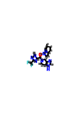 Cc1ccc2cc([C@@H]3c4nc[nH]c4CCN3C(=O)c3nc(C(F)F)nn3C)nn2c1